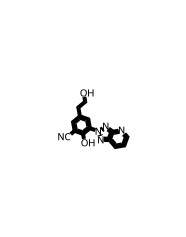 N#Cc1cc(CCO)cc(-n2nc3cccnc3n2)c1O